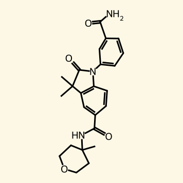 CC1(NC(=O)c2ccc3c(c2)C(C)(C)C(=O)N3c2cccc(C(N)=O)c2)CCOCC1